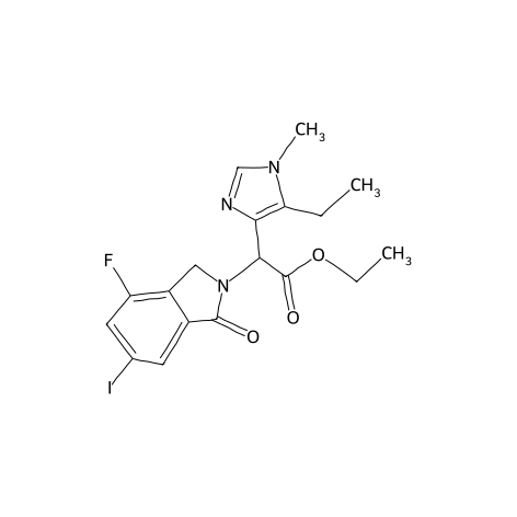 CCOC(=O)C(c1ncn(C)c1CC)N1Cc2c(F)cc(I)cc2C1=O